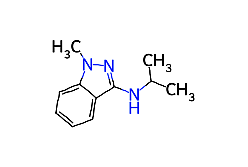 CC(C)Nc1nn(C)c2ccccc12